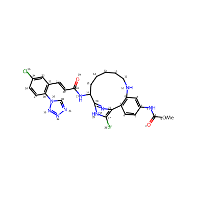 COC(=O)Nc1ccc2c(c1)NCCCCCC(NC(=O)C=Cc1cc(Cl)ccc1-n1cnnn1)c1nc-2c(Br)[nH]1